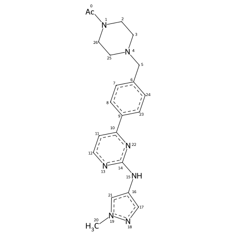 CC(=O)N1CCN(Cc2ccc(-c3ccnc(Nc4cnn(C)c4)n3)cc2)CC1